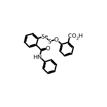 O=C(O)c1ccccc1OS[Se]c1ccccc1C(=O)Nc1ccccc1